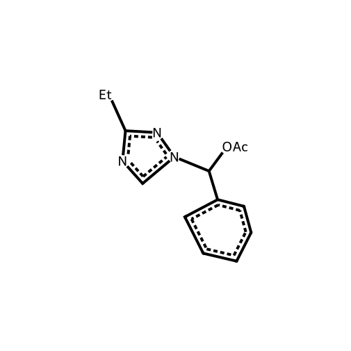 CCc1ncn(C(OC(C)=O)c2ccccc2)n1